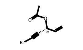 C=C[C@H](C#CBr)OC(C)=O